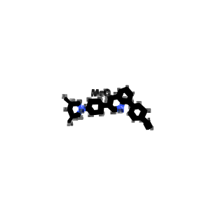 C#Cc1ccc(-c2cccc3c(OC)c(-c4ccc(N5C[C@H](C)C[C@H](C)C5)cc4)cnc23)cc1